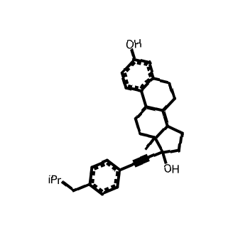 CC(C)Cc1ccc(C#CC2(O)CCC3C4CCc5cc(O)ccc5C4CCC32C)cc1